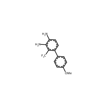 COc1ccc(-c2ccc(N)c(N)c2C(F)(F)F)cc1